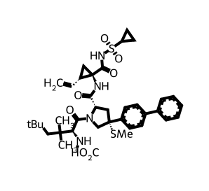 C=C[C@@H]1C[C@]1(NC(=O)[C@@H]1C[C@@](SC)(c2ccc(-c3ccccc3)cc2)CN1C(=O)[C@@H](NC(=O)O)C(C)(C)CC(C)(C)C)C(=O)NS(=O)(=O)C1CC1